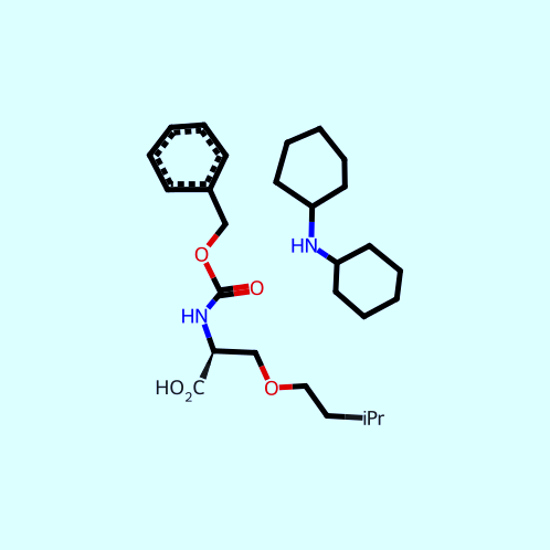 C1CCC(NC2CCCCC2)CC1.CC(C)CCOC[C@H](NC(=O)OCc1ccccc1)C(=O)O